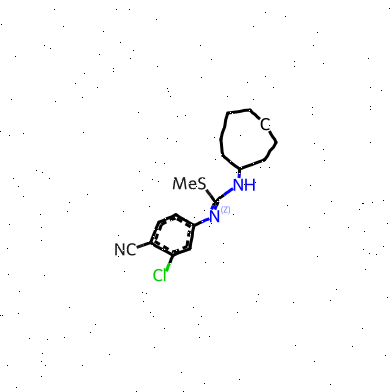 CS/C(=N\c1ccc(C#N)c(Cl)c1)NC1CCCCCCC1